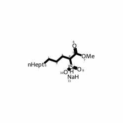 CCCCCCCCCCC(C(=O)OC)[SH](=O)=O.[NaH]